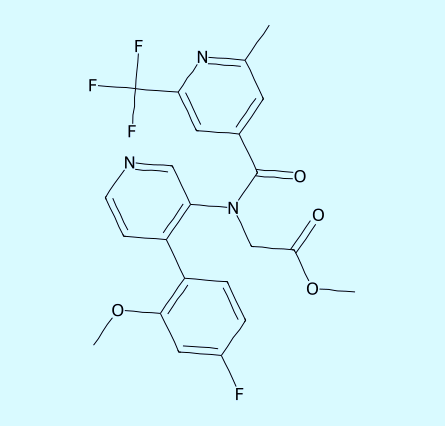 COC(=O)CN(C(=O)c1cc(C)nc(C(F)(F)F)c1)c1cnccc1-c1ccc(F)cc1OC